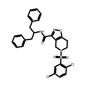 O=C(NC(Cc1ccccc1)Cc1ccccc1)c1noc2c1CN(S(=O)(=O)c1cc(Cl)ccc1Cl)CC2